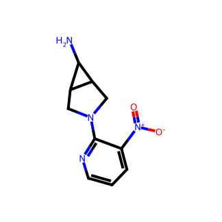 NC1C2CN(c3ncccc3[N+](=O)[O-])CC12